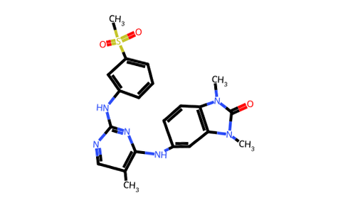 Cc1cnc(Nc2cccc(S(C)(=O)=O)c2)nc1Nc1ccc2c(c1)n(C)c(=O)n2C